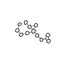 c1ccc(-c2cccc(-c3cccc(-c4ccc(-c5nc(-c6ccc(-c7cccc(-n8c9ccccc9c9ccccc98)c7)cc6)nc(-c6ccccc6-c6cccc(-c7ccccc7)c6)n5)cc4)c3)c2)cc1